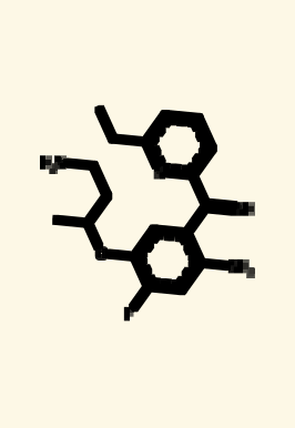 CCc1cccc(C(=N)c2cc(OC(C)CCN)c(F)cc2N)n1